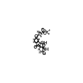 CC(C)(C)OC(=O)N1CC(Oc2ccc3c(c2)C(O)N(C2CCC(=O)NC2=O)C3=O)C1